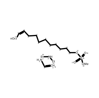 C=CN.CCCCCCCC/C=C\CCCCCCCCCOS(=O)(=O)OC.CCNCC